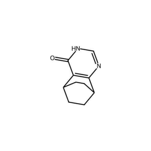 O=c1[nH]cnc2c1C1CCC2CC1